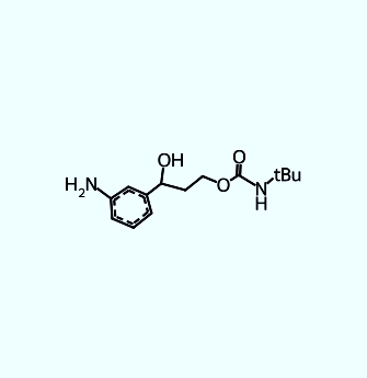 CC(C)(C)NC(=O)OCCC(O)c1cccc(N)c1